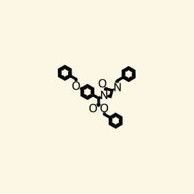 O=C(OCc1ccccc1)C(c1ccc(OCc2ccccc2)cc1)N1C[C@H](/N=C/c2ccccc2)C1=O